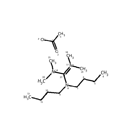 CC(=O)[O-].CCCCN(CCCC)C(N(C)C)=[N+](C)C